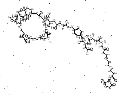 C=C1C[C@@H]2CC[C@]34C[C@@H](OC)[C@@H](O3)C3C[C@@H](O4)[C@H]4O[C@H](CC[C@@H]4O3)CC(=O)C[C@H]3C(C[C@H]4O[C@@H](CC[C@@H]1O2)C[C@@H](C)C4=C)O[C@H](C[C@H](O)CNC(=O)OCc1ccc(NC(=O)[C@H](CC(C)=O)NC(=O)[C@H](C)NC(=O)[C@H](C)NC(=O)CCOCCOCCC(=O)ON2C(=O)CCC2=O)cc1)[C@@H]3OC